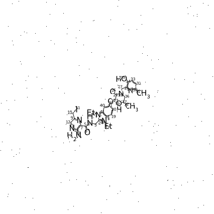 CCn1c(CNC(=O)c2nc(CI)cnc2N)[n+](CC)c2ccc(OCC(=O)N(Cc3nc(C)ccc3O)C[C@H](C)O)cc21